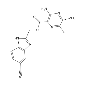 N#Cc1ccc2[nH]c(COC(=O)c3nc(Cl)c(N)nc3N)nc2c1